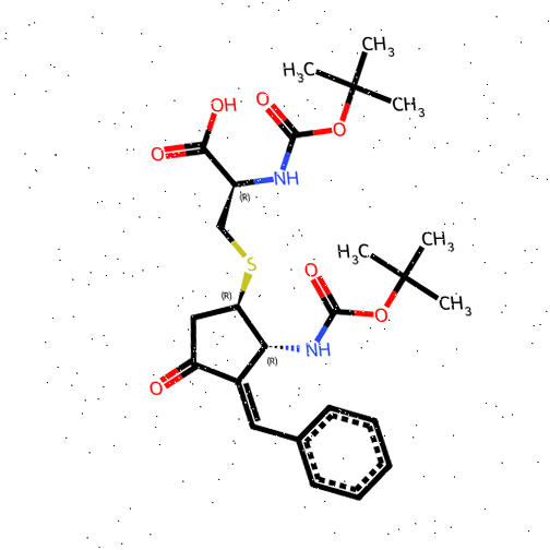 CC(C)(C)OC(=O)N[C@@H](CS[C@@H]1CC(=O)C(=Cc2ccccc2)[C@H]1NC(=O)OC(C)(C)C)C(=O)O